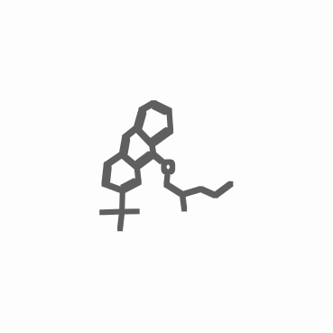 CCCC(C)COc1c2ccccc2cc2ccc(C(C)(C)C)cc12